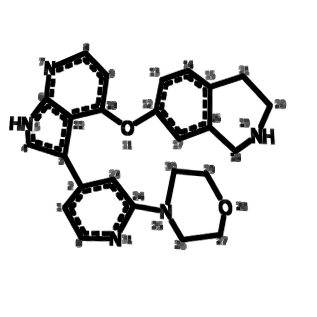 c1cc(-c2c[nH]c3nccc(Oc4ccc5c(c4)CNCC5)c23)cc(N2CCOCC2)n1